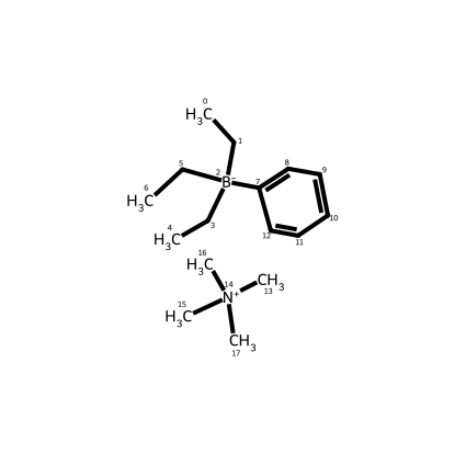 CC[B-](CC)(CC)c1ccccc1.C[N+](C)(C)C